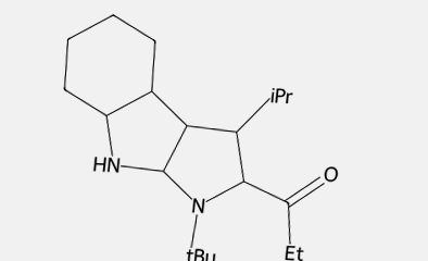 CCC(=O)C1C(C(C)C)C2C3CCCCC3NC2N1C(C)(C)C